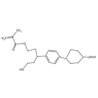 C=C(C)C(=O)OCCC(CCO)c1ccc(C2CCC(CCCCC)CC2)cc1